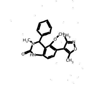 COc1c(-c2c(C)noc2C)ccc2c1C(c1ccccc1)N(C)C(=O)N2